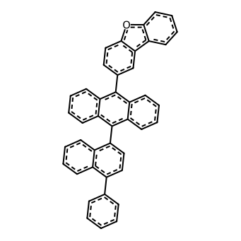 c1ccc(-c2ccc(-c3c4ccccc4c(-c4ccc5oc6ccccc6c5c4)c4ccccc34)c3ccccc23)cc1